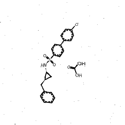 O=C(O)O.O=S(=O)(N[C@@H]1C[C@H]1Cc1ccccc1)c1ccc(-c2ccc(Cl)cc2)cc1